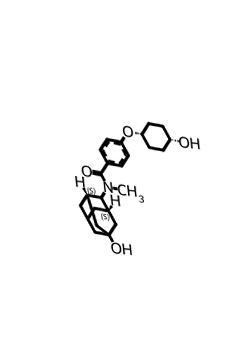 CN(C(=O)c1ccc(O[C@H]2CC[C@@H](O)CC2)cc1)C1[C@H]2CC3C[C@H]1CC(O)(C3)C2